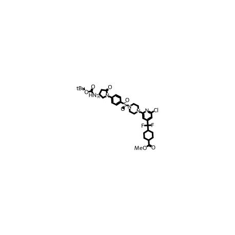 COC(=O)C1CCC(C(F)(F)c2cc(Cl)nc(N3CCN(S(=O)(=O)c4ccc(N5C[C@H](NC(=O)OC(C)(C)C)CC5=O)cc4)CC3)c2)CC1